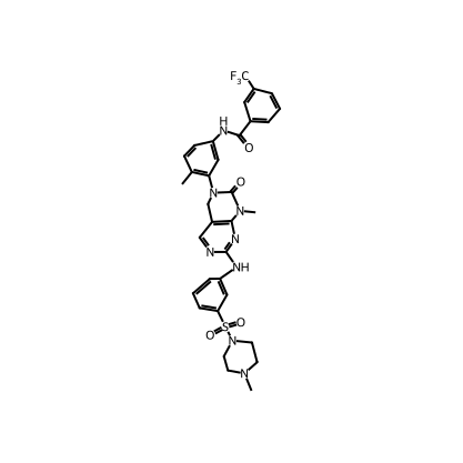 Cc1ccc(NC(=O)c2cccc(C(F)(F)F)c2)cc1N1Cc2cnc(Nc3cccc(S(=O)(=O)N4CCN(C)CC4)c3)nc2N(C)C1=O